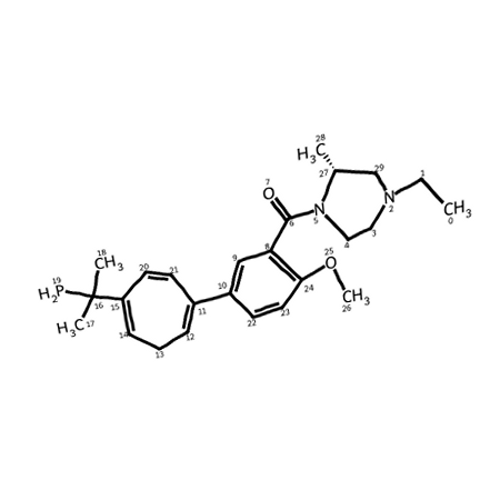 CCN1CCN(C(=O)c2cc(C3=CCC=C(C(C)(C)P)C=C3)ccc2OC)[C@H](C)C1